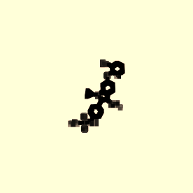 CCCS(=O)(=O)Nc1ccc(-c2c(N)c3ccc(Oc4ncccc4Br)cc3n2C2CC2)cc1